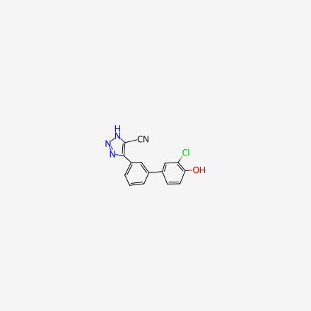 N#Cc1[nH]nnc1-c1cccc(-c2ccc(O)c(Cl)c2)c1